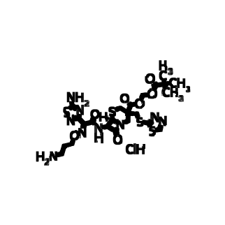 CC(C)(C)C(=O)OCOC(=O)C1(CSc2nncs2)CS[C@@H]2C(NC(=O)C(=NOCCCN)c3nsc(N)n3)C(=O)N2C1.Cl